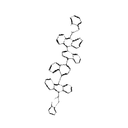 c1ccc2c(c1)CC(c1c3ccccc3c(-c3ccc(-c4ccc(-c5c6ccccc6c(C6Cc7ccccc7O6)c6ccccc56)c5ccccc45)c4ccccc34)c3ccccc13)O2